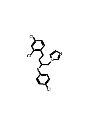 Clc1ccc(SC(CCc2ccc(Cl)cc2Cl)Cn2ccnc2)cc1